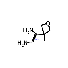 CC1(/C(N)=C/N)COC1